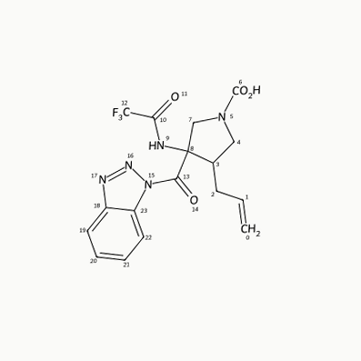 C=CCC1CN(C(=O)O)CC1(NC(=O)C(F)(F)F)C(=O)n1nnc2ccccc21